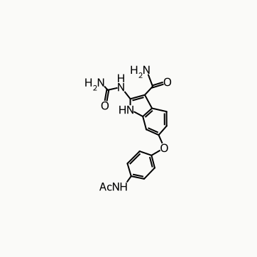 CC(=O)Nc1ccc(Oc2ccc3c(C(N)=O)c(NC(N)=O)[nH]c3c2)cc1